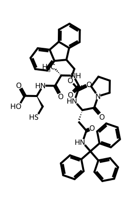 C[C@H](NC(=O)[C@@H]1CCCN1C(=O)[C@H](CC(=O)NC(c1ccccc1)(c1ccccc1)c1ccccc1)NC(=O)OCC1c2ccccc2-c2ccccc21)C(=O)N[C@@H](CS)C(=O)O